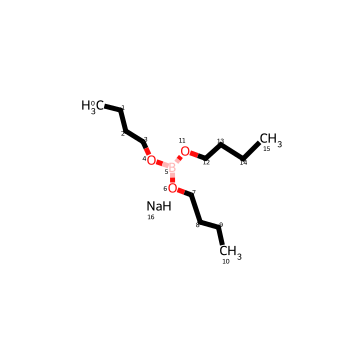 CCCCOB(OCCCC)OCCCC.[NaH]